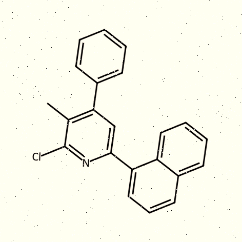 Cc1c(-c2ccccc2)cc(-c2cccc3ccccc23)nc1Cl